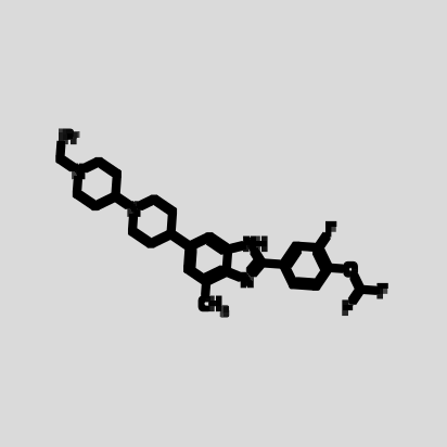 Cc1cc(C2CCN(C3CCN(CC(C)C)CC3)CC2)cc2[nH]c(-c3ccc(OC(F)F)c(F)c3)nc12